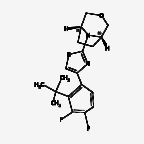 CC(C)(C)c1c(-c2csc(N3[C@@H]4CC[C@H]3COC4)n2)ccc(F)c1F